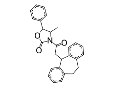 CC1C(c2ccccc2)OC(=O)N1C(=O)CC1c2ccccc2CCc2ccccc21